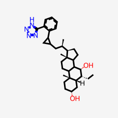 CC[C@H]1[C@@H](O)C2C3CC[C@H]([C@H](C)CC4CC4c4ccccc4-c4nnn[nH]4)[C@@]3(C)CCC2[C@@]2(C)CC[C@@H](O)C[C@@H]12